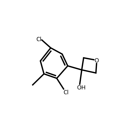 Cc1cc(Cl)cc(C2(O)COC2)c1Cl